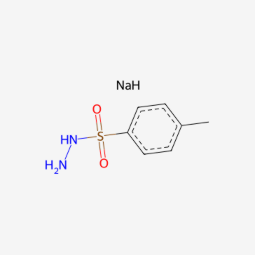 Cc1ccc(S(=O)(=O)NN)cc1.[NaH]